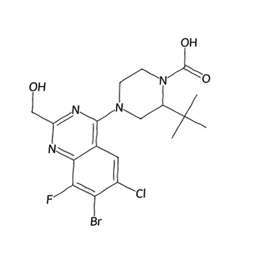 CC(C)(C)C1CN(c2nc(CO)nc3c(F)c(Br)c(Cl)cc23)CCN1C(=O)O